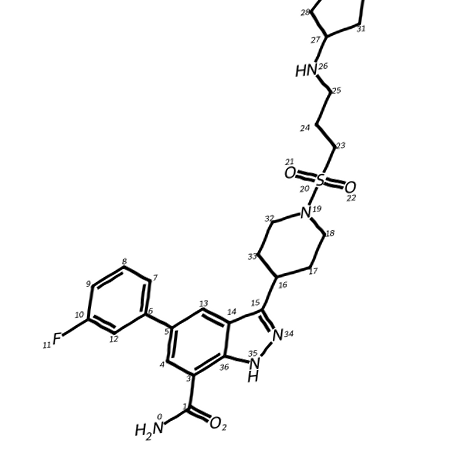 NC(=O)c1cc(-c2cccc(F)c2)cc2c(C3CCN(S(=O)(=O)CCCNC4CCCC4)CC3)n[nH]c12